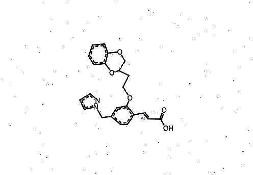 O=C(O)/C=C/c1ccc(Cn2cccn2)cc1OCCC1COc2ccccc2O1